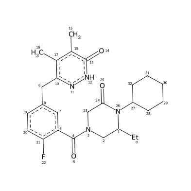 CCC1CN(C(=O)c2cc(Cc3n[nH]c(=O)c(C)c3C)ccc2F)CC(=O)N1C1CCCCC1